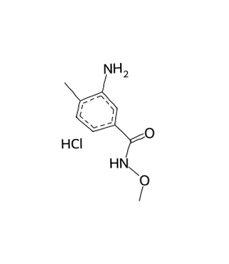 CONC(=O)c1ccc(C)c(N)c1.Cl